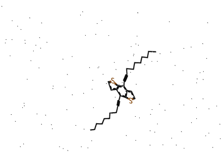 CCCCCCCCC#Cc1c2ccsc2c(C#CCCCCCCCC)c2ccsc12